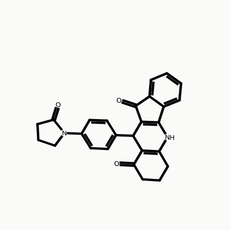 O=C1CCCC2=C1C(c1ccc(N3CCCC3=O)cc1)C1=C(N2)c2ccccc2C1=O